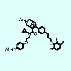 COc1ccc(OCCN(C(=O)C2=C(c3ccc(CCCOc4c(F)ccc(F)c4F)cc3)CC3CN(C(C)=O)CC2N3)C2CC2)cc1